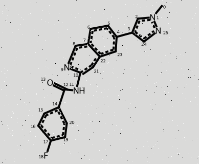 Cn1cc(-c2ccc3cnc(NC(=O)c4ccc(F)cc4)cc3c2)cn1